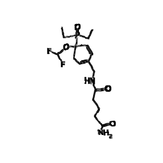 CCP(=O)(CC)C1(OC(F)F)C=CC(CNC(=O)CCCC(N)=O)=CC1